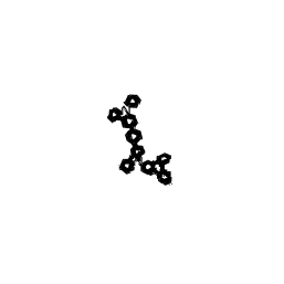 c1ccc(-n2c3ccccc3c3cc(-c4ccc(-c5ccc6c(c5)c5ccccc5n6-c5ccc6c7ccccc7c7ccccc7c6c5)cc4)ccc32)cc1